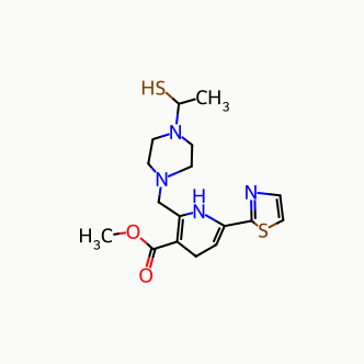 COC(=O)C1=C(CN2CCN(C(C)S)CC2)NC(c2nccs2)=CC1